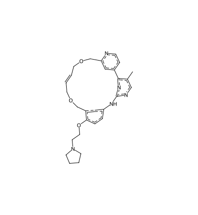 Cc1cnc2nc1-c1ccnc(c1)COC/C=C/COCc1cc(ccc1OCCN1CCCC1)N2